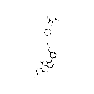 Cn1c(=O)n(C2CCC(=O)NC2=O)c2cccc(-c3cccc(CCCOC[C@H]4CC[C@H](n5cc(N)c(C(F)F)n5)CC4)c3)c21